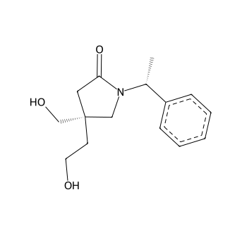 C[C@H](c1ccccc1)N1C[C@@](CO)(CCO)CC1=O